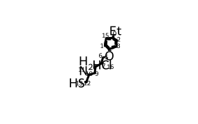 CCc1ccc(OCCCC[C@H](N)CS)cc1.Cl